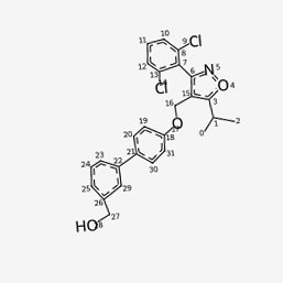 CC(C)c1onc(-c2c(Cl)cccc2Cl)c1COc1ccc(-c2cccc(CO)c2)cc1